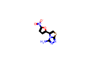 Nc1nnc2scc(-c3ccc([N+](=O)[O-])o3)n12